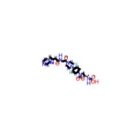 O=C(O)NC[C@H]1CN(c2cc(F)c(N3CCN(C(=O)CNC(=O)Cc4cn5ccncc5n4)CC3)c(F)c2)C(=O)O1